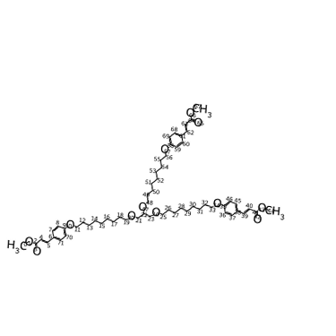 COC(=O)/C=C/c1ccc(OCCCCCCCCCOCC(COCCCCCCCCCOc2ccc(/C=C/C(=O)OC)cc2)OCCCCCCCCCOc2ccc(/C=C/C(=O)OC)cc2)cc1